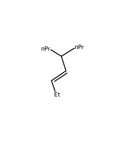 [CH2]CC=CC(CC[CH2])CCC